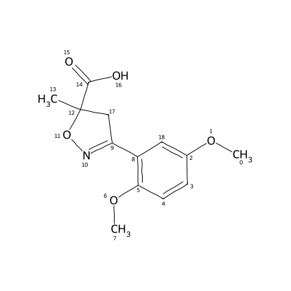 COc1ccc(OC)c(C2=NOC(C)(C(=O)O)C2)c1